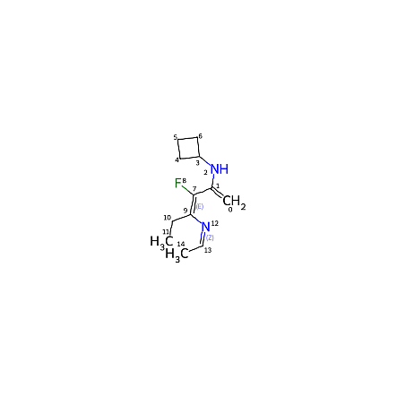 C=C(NC1CCC1)/C(F)=C(CC)\N=C/C